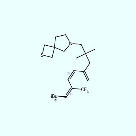 C=C(/C=C\C(=C/[C@H](C)CC)C(F)(F)F)CC(C)(C)CN1CCC2(CSC2)C1